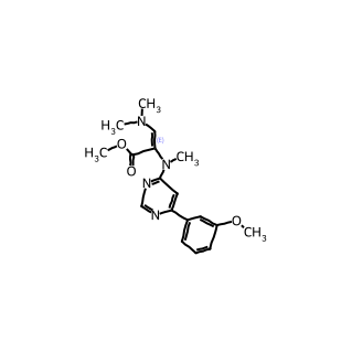 COC(=O)/C(=C\N(C)C)N(C)c1cc(-c2cccc(OC)c2)ncn1